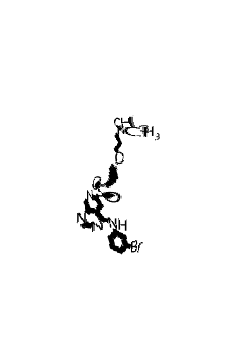 CN(C)CCCO/C=C/S(=O)(=O)c1cc2c(Nc3cccc(Br)c3)ncnc2cn1